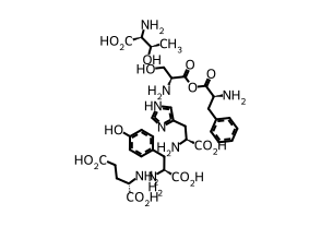 C[C@@H](O)[C@H](N)C(=O)O.N[C@@H](CCC(=O)O)C(=O)O.N[C@@H](CO)C(=O)OC(=O)[C@@H](N)Cc1ccccc1.N[C@@H](Cc1c[nH]cn1)C(=O)O.N[C@@H](Cc1ccc(O)cc1)C(=O)O